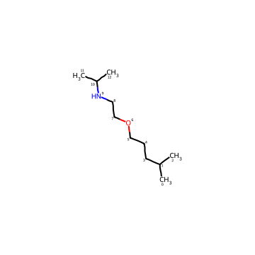 CC(C)CCCOCCNC(C)C